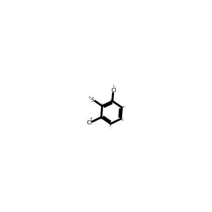 [S]c1c(Cl)cccc1Cl